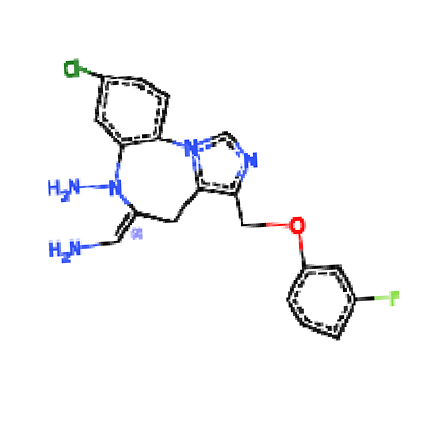 N/C=C1/Cc2c(COc3cccc(F)c3)ncn2-c2ccc(Cl)cc2N1N